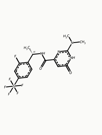 C[C@H](NC(=O)c1cc(=O)[nH]c(N(C)C)n1)c1ccc(S(F)(F)(F)(F)F)cc1F